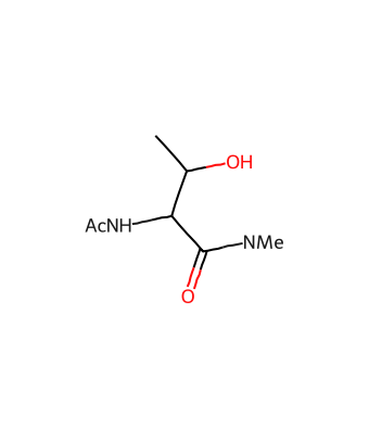 CNC(=O)C(NC(C)=O)C(C)O